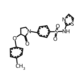 Cc1ccc(OC2CCN(c3ccc(S(=O)(=O)Nc4nccs4)cc3)C2=O)cc1